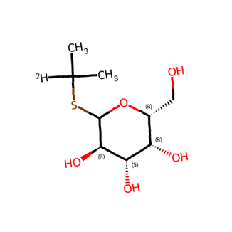 [2H]C(C)(C)SC1O[C@H](CO)[C@H](O)[C@H](O)[C@H]1O